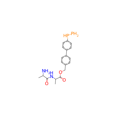 CC(N)C(=O)NC(C)C(=O)OCc1ccc(-c2ccc(PP)cc2)cc1